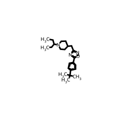 CCC(CC)N1CCC(Cc2noc(-c3ccc(C(C)(C)C)cc3)n2)CC1